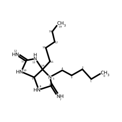 CCCCCN1C(=N)NC2NC(=N)NC21CCCCC